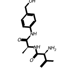 C=C(C)[C@H](N)C(=O)N[C@@H](C)C(=O)Nc1ccc(CO)cc1